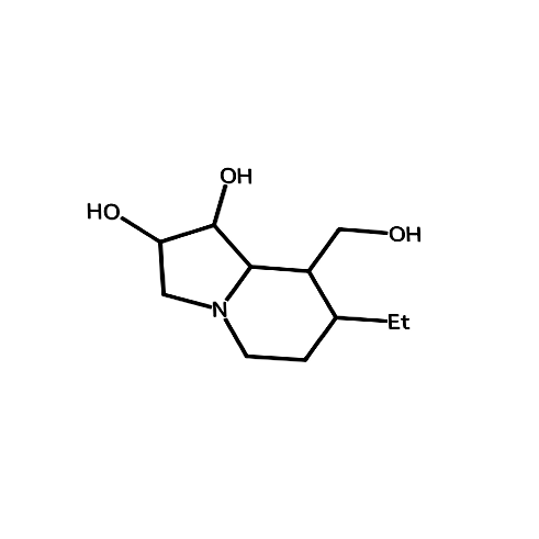 CCC1CCN2CC(O)C(O)C2C1CO